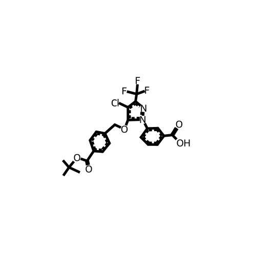 CC(C)(C)OC(=O)c1ccc(COc2c(Cl)c(C(F)(F)F)nn2-c2cccc(C(=O)O)c2)cc1